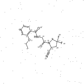 CCOc1cnccc1C(=O)NCC(=O)N1CC(F)(F)CC1C#N